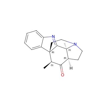 C[C@@H]1C(=O)[C@@H]2CCN3CC[C@@]14C(=Nc1ccccc14)[C@]23C